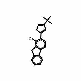 CC(C)(C)C1=CCC(c2ccc3c([c]2[Zr])Cc2ccccc2-3)=C1